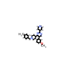 COc1cccc(-c2cnc(-c3ccncc3)nc2C2CCN(Cc3ccc(C)cc3)CC2)c1